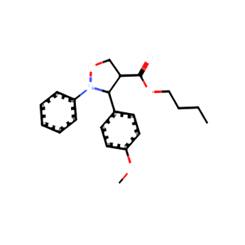 CCCCOC(=O)C1CON(c2ccccc2)C1c1ccc(OC)cc1